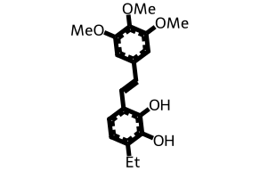 CCc1ccc(/C=C/c2cc(OC)c(OC)c(OC)c2)c(O)c1O